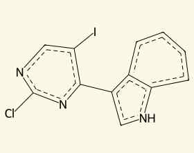 Clc1ncc(I)c(-c2c[nH]c3ccccc23)n1